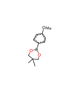 COc1ccc(B2OCC(C)(C)CO2)cc1